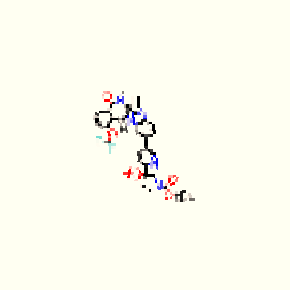 CN1C(=O)c2cccc(OC(F)F)c2[C@H]2C[C@@H]1c1nc3ccc(-c4ccc(C5(O)CCN(C(=O)OC(C)(C)C)C5)nc4)cc3n12